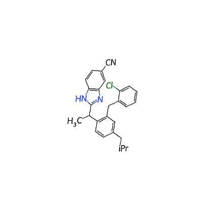 CC(C)Cc1ccc(C(C)c2nc3cc(C#N)ccc3[nH]2)c(Cc2ccccc2Cl)c1